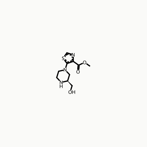 COC(=O)c1ncsc1N1CCN[C@H](CO)C1